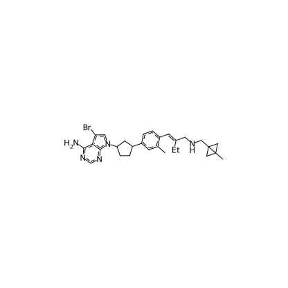 CC/C(=C\c1ccc(C2CCC(n3cc(Br)c4c(N)ncnc43)C2)cc1C)CNCC12CC1(C)C2